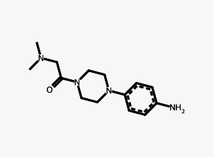 CN(C)CC(=O)N1CCN(c2ccc(N)cc2)CC1